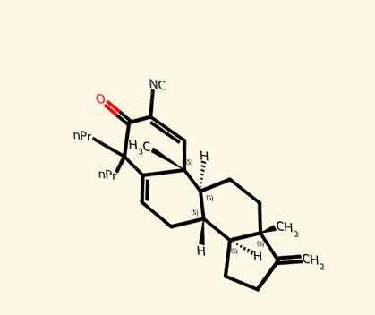 [C-]#[N+]C1=C[C@@]2(C)C(=CC[C@@H]3[C@@H]2CC[C@]2(C)C(=C)CC[C@@H]32)C(CCC)(CCC)C1=O